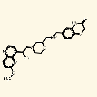 COc1ccc2nccc(C(O)CN3CCOC(CNCc4ccc5c(c4)NC(=O)CS5)C3)c2n1